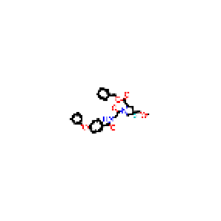 COC[C@@]1(F)CC(C(=O)OCc2ccccc2)N(C(=O)CNC(=O)c2ccc(Oc3ccccc3)cc2)C1